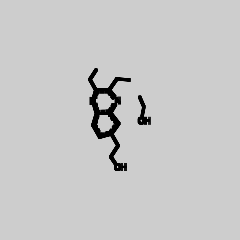 CCO.CCc1nc2ccc(CCO)cc2nc1CC